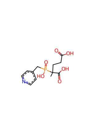 CC(CCC(=O)O)(C(=O)O)P(=O)(O)Cc1ccncc1